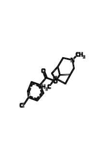 CN1CC2CN(C)CC(C1)C2OC(=O)c1ccc(Cl)cc1